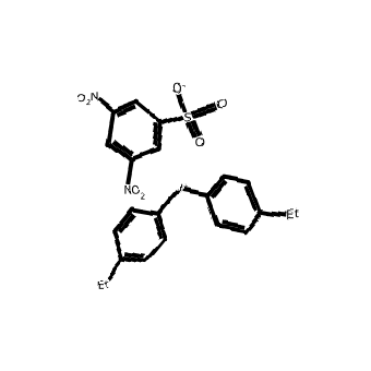 CCc1ccc([I+]c2ccc(CC)cc2)cc1.O=[N+]([O-])c1cc([N+](=O)[O-])cc(S(=O)(=O)[O-])c1